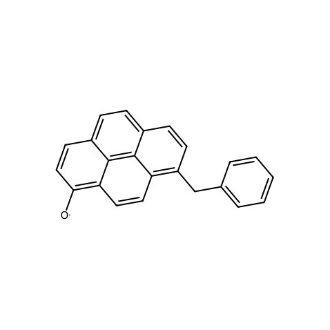 [O]c1ccc2ccc3ccc(Cc4ccccc4)c4ccc1c2c34